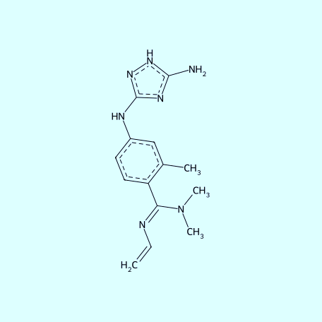 C=C/N=C(/c1ccc(Nc2n[nH]c(N)n2)cc1C)N(C)C